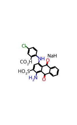 Nc1c(S(=O)(=O)O)cc(Nc2ccc(Cl)cc2C(=O)O)c2c1C(=O)c1ccccc1C2=O.[NaH]